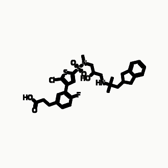 CN(CC(O)CNC(C)(C)CC1Cc2ccccc2C1)S(=O)(=O)c1cc(-c2cc(CCC(=O)O)ccc2F)c(Cl)s1